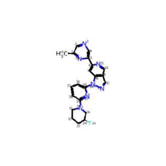 Cc1cncc(-c2cc3c(cn2)cnn3-c2cccc(N3CCC[C@H](F)C3)n2)n1